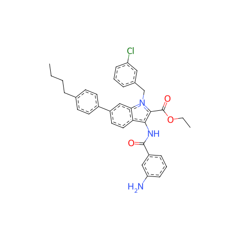 CCCCc1ccc(-c2ccc3c(NC(=O)c4cccc(N)c4)c(C(=O)OCC)n(Cc4cccc(Cl)c4)c3c2)cc1